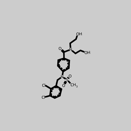 CS(=O)(=O)N(Cc1cccc(Cl)c1Cl)c1ccc(C(=O)N(CCO)CCO)cc1